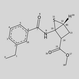 CCc1cccc(C(=O)NC23S[C@@H]2CC3C(=O)OC)c1